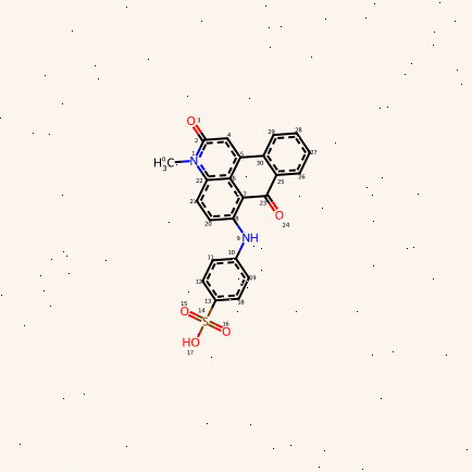 Cn1c(=O)cc2c3c(c(Nc4ccc(S(=O)(=O)O)cc4)ccc31)C(=O)c1ccccc1-2